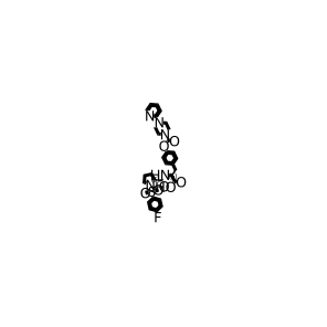 O=C(O)[C@H](Cc1ccc(OC(=O)N2CCN(c3ccccn3)CC2)cc1)NC(=O)[C@@H]1CCCN1S(=O)(=O)c1ccc(F)cc1